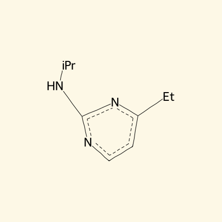 CCc1ccnc(NC(C)C)n1